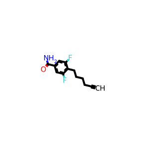 C#CCCCCc1c(F)cc(C(N)=O)cc1F